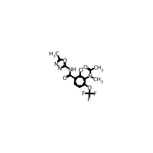 CC(=O)N(C)c1c(OC(F)(F)F)ccc(C(=O)Nc2nnc(C)o2)c1Cl